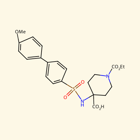 CCOC(=O)N1CCC(NS(=O)(=O)c2ccc(-c3ccc(OC)cc3)cc2)(C(=O)O)CC1